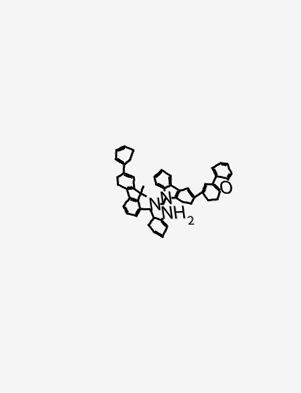 CC1(C)C2=C(CCC(C3=CC=CCC3)=C2)c2cccc(/C(=N/Cn3c4c(c5ccccc53)C=C(C3=Cc5c(oc6ccccc56)CC3)CC4)C3CC=CC=C3N)c21